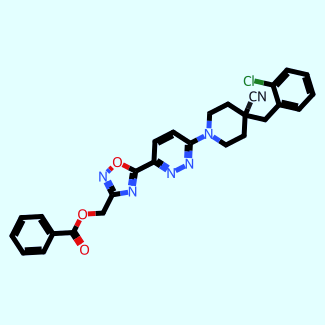 N#CC1(Cc2ccccc2Cl)CCN(c2ccc(-c3nc(COC(=O)c4ccccc4)no3)nn2)CC1